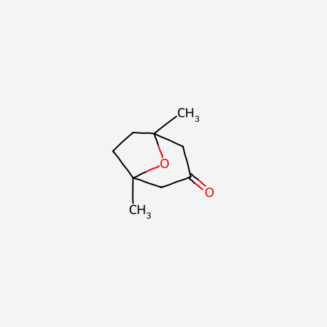 CC12CCC(C)(CC(=O)C1)O2